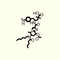 CCCCCCN(C(=O)CCCC)C(CC(OC(C)=O)c1nc(C(=O)NC(Cc2ccc(NC)cc2)CC(C)(C)C(=O)O)cs1)C(C)C